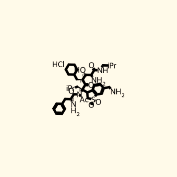 CC(=O)N(C(=O)[C@@H](N)Cc1ccccc1)[C@](CC(C)C)(C(=O)[C@@H](CC1CCCCC1)[C@H](O)C(N)C(=O)NCC(C)C)C1CS(=O)(=O)c2cc(CN)ccc21.Cl